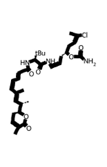 CC1=CC[C@@H]([C@@H](C)/C=C(C)/C=C\C=C\C(=O)N[C@H](C(=O)N/C=C\C[C@H](C/C=C(\C)Cl)OC(N)=O)C(C)(C)C)OC1=O